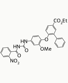 CCOC(=O)c1ccc(Oc2ccc(NC(=O)NC(=O)c3ccccc3[N+](=O)[O-])cc2OC)c(-c2ccccc2)c1